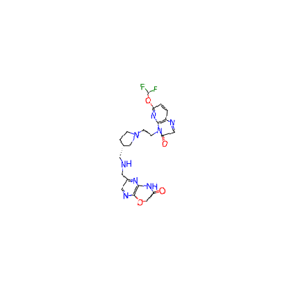 O=C1COc2ncc(CNC[C@@H]3CCN(CCn4c(=O)cnc5ccc(OC(F)F)nc54)C3)nc2N1